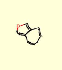 [c]1ccc2cocc2c1